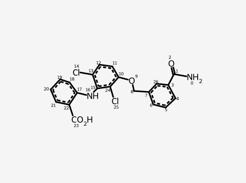 NC(=O)c1cccc(COc2ccc(Cl)c(Nc3ccccc3C(=O)O)c2Cl)c1